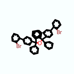 Brc1ccccc1-c1ccc(C(OC(c2ccccc2)(c2ccccc2)c2ccc(-c3ccccc3Br)cc2)(c2ccccc2)c2ccccc2)cc1